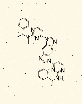 C[C@H](Nc1nccc(-n2cnc3cc4c(cc32)ncn4-c2ccnc(N[C@@H](C)c3ccccc3)n2)n1)c1ccccc1